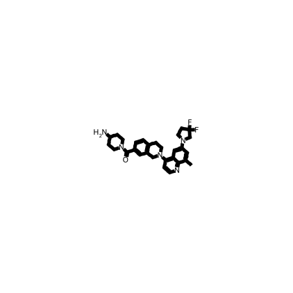 Cc1cc(N2CCC(F)(F)C2)cc2c(N3CCc4ccc(C(=O)N5CCC(N)CC5)cc4C3)ccnc12